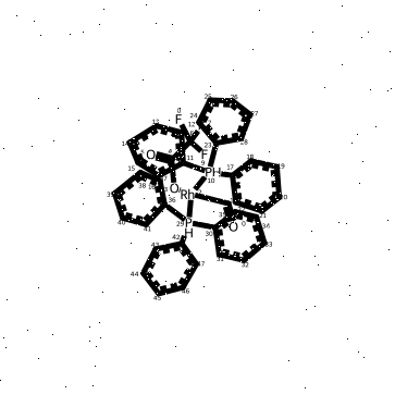 O=[CH][Rh]([O]C(=O)C(F)(F)F)([PH](c1ccccc1)(c1ccccc1)c1ccccc1)[PH](c1ccccc1)(c1ccccc1)c1ccccc1